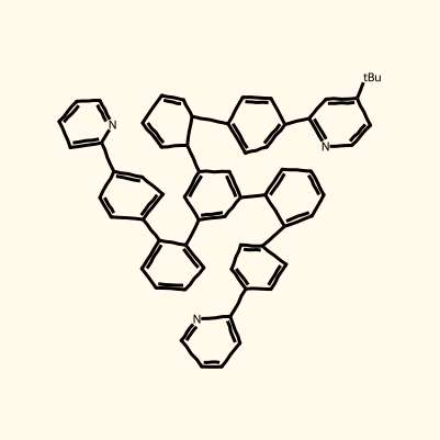 CC(C)(C)c1ccnc(-c2ccc(C3C=CC=CC3c3cc(-c4ccccc4-c4ccc(-c5ccccn5)cc4)cc(-c4ccccc4-c4ccc(-c5ccccn5)cc4)c3)cc2)c1